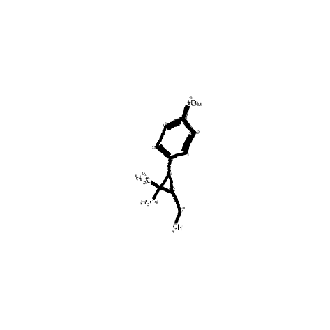 CC(C)(C)c1ccc(C2C(CO)C2(C)C)cc1